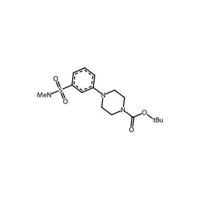 CNS(=O)(=O)c1cccc(N2CCN(C(=O)OC(C)(C)C)CC2)c1